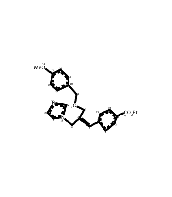 CCOC(=O)c1ccc(/C=C(\COCc2ccc(OC)cc2)Cn2ccnc2)cc1